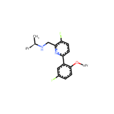 CCCOc1ccc(F)cc1-c1ccc(F)c(CN[C@H](C)C(C)C)n1